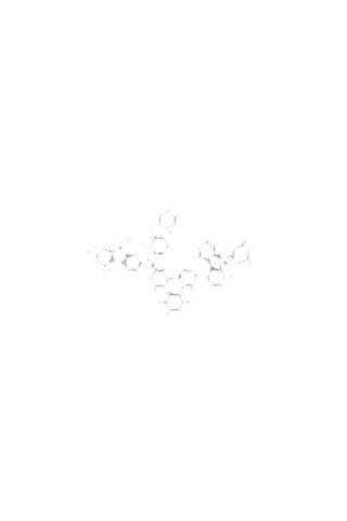 CC1(C)c2ccccc2-c2ccc(N(c3cccc(-c4ccc(-c5cccc6c5c5ccccc5n6-c5ccccc5)cc4-c4ccccc4)c3)c3ccc4c(c3)C(C)(C)c3ccccc3-4)cc21